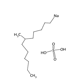 CCCCCCC(C)CCCC[CH2][Na].O=S(=O)(O)O